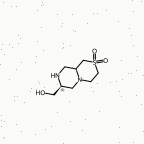 O=S1(=O)CCN2C[C@@H](CO)NCC2C1